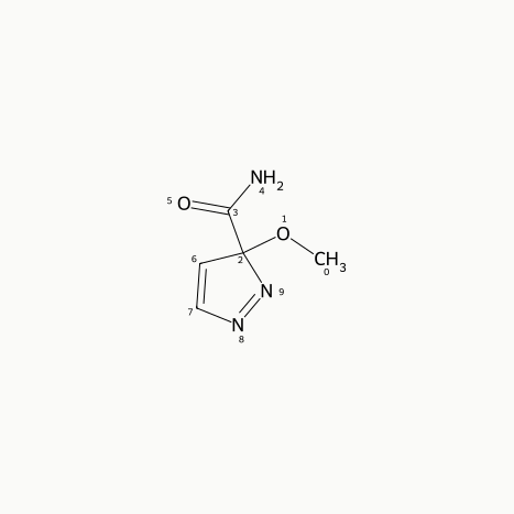 COC1(C(N)=O)C=CN=N1